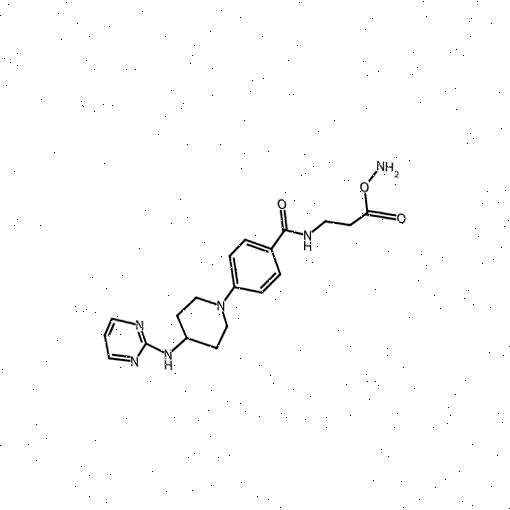 NOC(=O)CCNC(=O)c1ccc(N2CCC(Nc3ncccn3)CC2)cc1